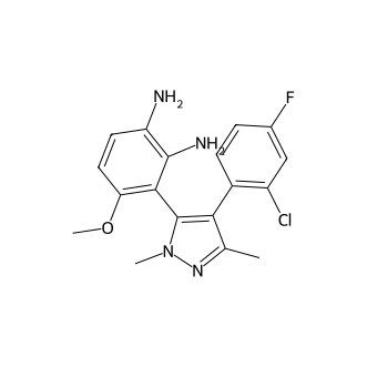 COc1ccc(N)c(N)c1-c1c(-c2ccc(F)cc2Cl)c(C)nn1C